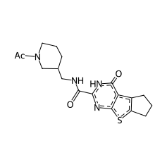 CC(=O)N1CCCC(CNC(=O)c2nc3sc4c(c3c(=O)[nH]2)CCC4)C1